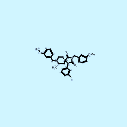 COc1cccc(CN2C(=O)N(c3cccc(F)c3)[C@@]3(CCN(Cc4cccc(OC(C)C)c4)[C@@H](C)C3)C2=O)c1